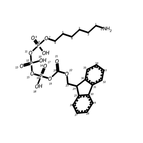 NCCCCCCOP(=O)(O)OP(=O)(O)OP(=O)(O)OC(=O)OCC1c2ccccc2-c2ccccc21